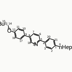 CCCCCCCc1ccc(-c2ccc(-c3ccc(OC[C@@H](C)CC)cc3)cn2)cc1